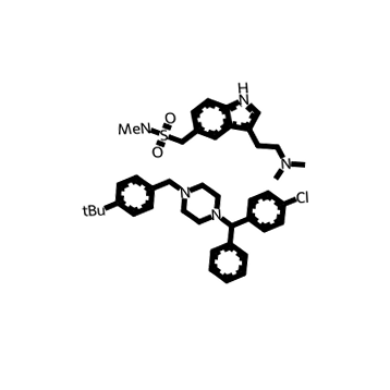 CC(C)(C)c1ccc(CN2CCN(C(c3ccccc3)c3ccc(Cl)cc3)CC2)cc1.CNS(=O)(=O)Cc1ccc2[nH]cc(CCN(C)C)c2c1